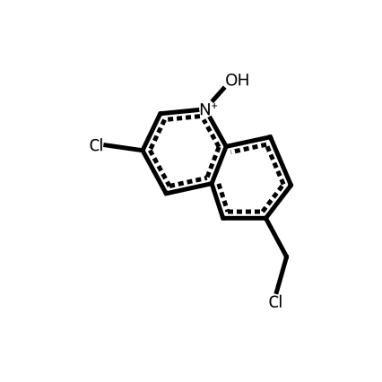 O[n+]1cc(Cl)cc2cc(CCl)ccc21